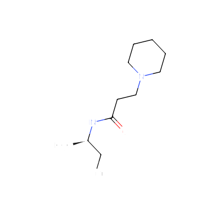 CC(C)C[C@H](NC(=O)CCN1CCCCC1)C(=O)O